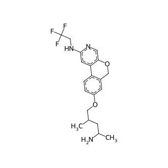 CC(N)CC(C)COc1ccc2c(c1)COc1cnc(NCC(F)(F)F)cc1-2